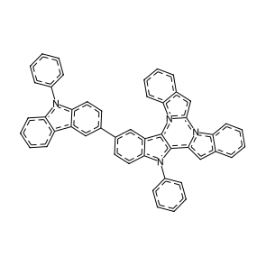 c1ccc(-n2c3ccccc3c3cc(-c4ccc5c(c4)c4c(c6cc7ccccc7n6c6cc7ccccc7n46)n5-c4ccccc4)ccc32)cc1